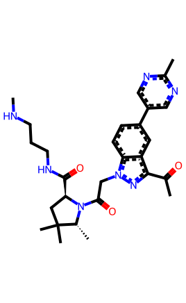 CNCCCNC(=O)[C@@H]1CC(C)(C)[C@@H](C)N1C(=O)Cn1nc(C(C)=O)c2cc(-c3cnc(C)nc3)ccc21